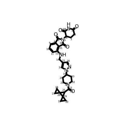 O=C1CCC(N2C(=O)c3cccc(NCc4cnn(C5CCN(C(=O)C6C7(CC7)C67CC7)CC5)c4)c3C2=O)C(=O)N1